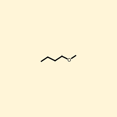 CCC[CH]OC